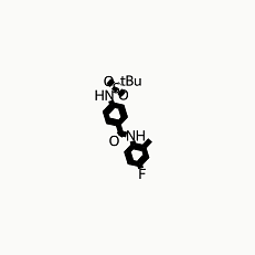 Cc1cc(F)ccc1NC(=O)c1ccc(NS(=O)(=O)C(C)(C)C)cc1